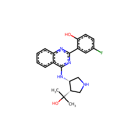 CC(C)(O)[C@H]1CNC[C@H]1Nc1nc(-c2cc(F)ccc2O)nc2ccccc12